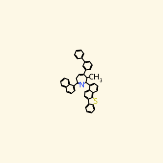 CC1C(c2cccc(-c3ccccc3)c2)=CCC(c2cccc3ccccc23)=NC1c1cccc2c1ccc1c3ccccc3sc21